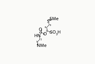 CNCCNC(=O)OC(CCSSC)S(=O)(=O)O